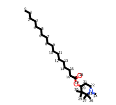 CCCCCCCCCCCCCCCCCC(=O)OC1CCN(C)C(C)(C)C1(C)C